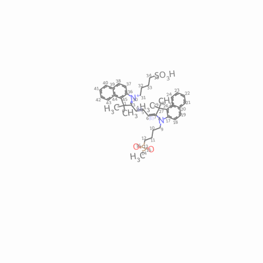 CC1(C)C(/C=C/C=C2/N(CCCCS(C)(=O)=O)c3ccc4ccccc4c3C2(C)C)=[N+](CCCCS(=O)(=O)O)c2ccc3ccccc3c21